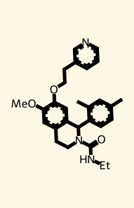 CCNC(=O)N1CCc2cc(OC)c(OCCc3cccnc3)cc2C1c1ccc(C)cc1C